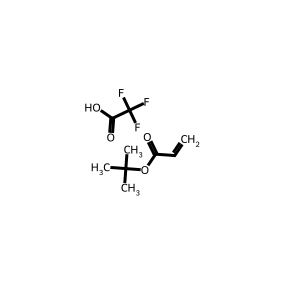 C=CC(=O)OC(C)(C)C.O=C(O)C(F)(F)F